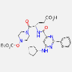 CCOC(=O)ON1CCN(C(=O)[C@H](CCC(=O)O)NC(=O)c2cc(NC3CCCC3)nc(-c3ccccc3)n2)CC1